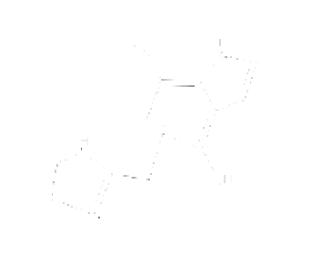 Cc1c(CC2=NCCN2)cc(Cl)c2[nH]ccc12